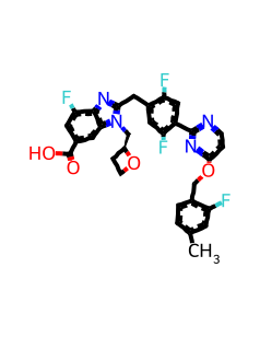 Cc1ccc(COc2ccnc(-c3cc(F)c(Cc4nc5c(F)cc(C(=O)O)cc5n4C[C@@H]4CCO4)cc3F)n2)c(F)c1